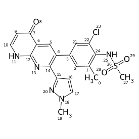 Cc1cc(-c2cc3c(=O)cc[nH]c3nc2-c2ccn(C)n2)cc(Cl)c1NS(C)(=O)=O